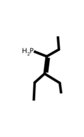 CCC(P)=C(CC)CC